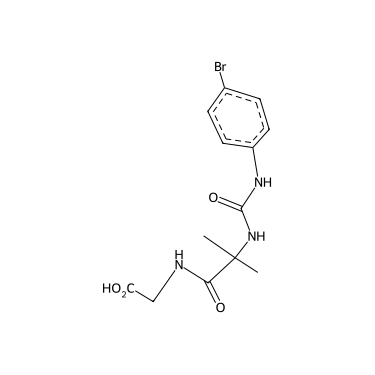 CC(C)(NC(=O)Nc1ccc(Br)cc1)C(=O)NCC(=O)O